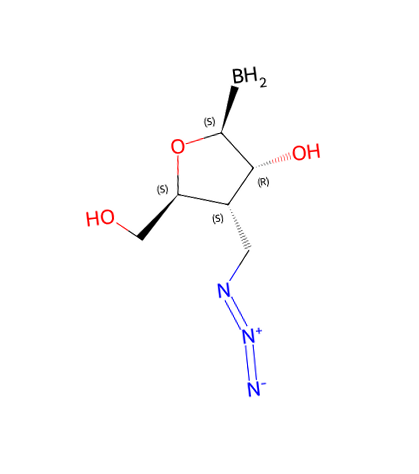 B[C@@H]1O[C@H](CO)[C@@H](CN=[N+]=[N-])[C@H]1O